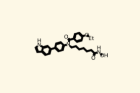 CCOc1ccc(C(=O)N(CCCCCCC(=O)NO)c2ccc(-c3ccc4cc[nH]c4c3)cc2)cc1